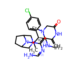 C=C1NC(=O)CN(CC)/C1=C(/N=C\N)N1CC2CCC(C1)N2C(C)[C@H](CNC(C)C)c1ccc(Cl)cc1